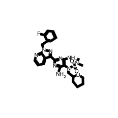 CN(C)S(=O)(=O)N(CC1CCCCO1)c1c(N)nc(-c2nn(Cc3ccccc3F)c3ncccc23)nc1N